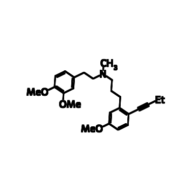 CCC#Cc1ccc(OC)cc1CCCN(C)CCc1ccc(OC)c(OC)c1